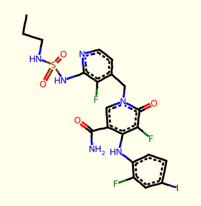 CCCNS(=O)(=O)Nc1nccc(Cn2cc(C(N)=O)c(Nc3ccc(I)cc3F)c(F)c2=O)c1F